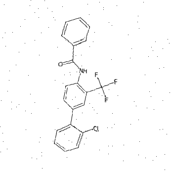 O=C(Nc1ccc(-c2ccccc2Cl)cc1C(F)(F)F)c1ccccc1